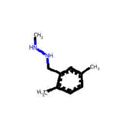 CNNCc1cc(C)ccc1C